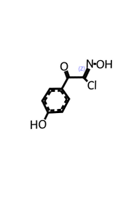 O=C(/C(Cl)=N/O)c1ccc(O)cc1